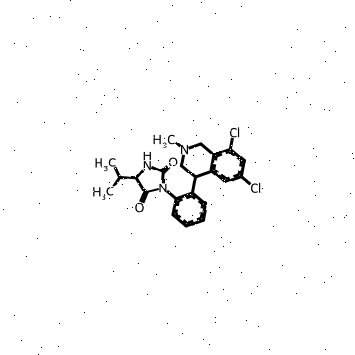 CC(C)C1NC(=O)N(c2ccccc2C2CN(C)Cc3c(Cl)cc(Cl)cc32)C1=O